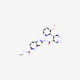 CCNC(=O)c1ccc2nc(NC(=O)c3cnncc3-c3ccccc3OC)sc2n1